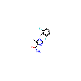 Cc1c(C(N)=O)ncn1Cc1c(F)cccc1F